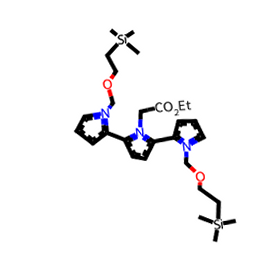 CCOC(=O)Cn1c(-c2cccn2COCC[Si](C)(C)C)ccc1-c1cccn1COCC[Si](C)(C)C